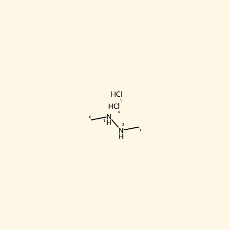 CNNC.Cl.Cl